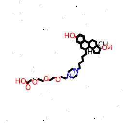 CC12CCC3c4ccc(O)cc4CC(CCCCCN4CCN(CCOCCOCCOCC(=O)O)CC4)C3[C@@H]1CC[C@@H]2O